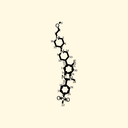 COCCN1CCC(N2CCC(c3cc4nc(-c5ccc(S(C)(=O)=O)cc5)n(C)c4cc3F)CC2)CC1